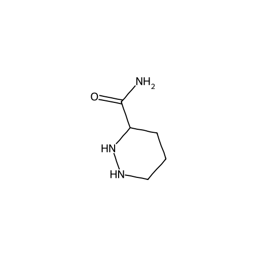 NC(=O)C1CCCNN1